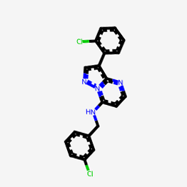 Clc1cccc(CNc2ccnc3c(-c4ccccc4Cl)cnn23)c1